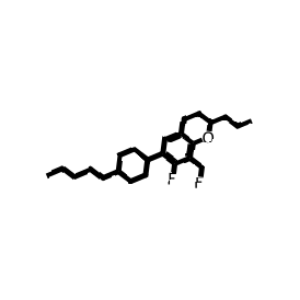 CCCCCC1CCC(c2cc3c(c(CF)c2F)OC(CCC)CC3)CC1